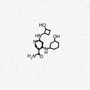 NC(=O)c1cnc(NC2CCC2O)cc1NC1CCCC(O)C1